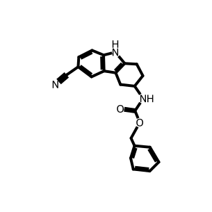 N#Cc1ccc2[nH]c3c(c2c1)CC(NC(=O)OCc1ccccc1)CC3